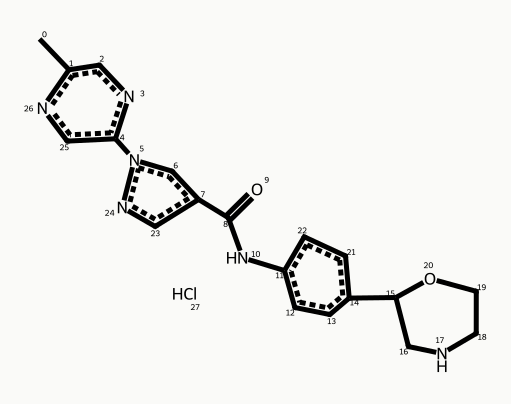 Cc1cnc(-n2cc(C(=O)Nc3ccc(C4CNCCO4)cc3)cn2)cn1.Cl